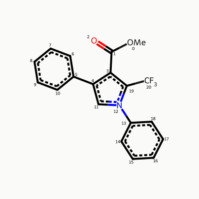 COC(=O)c1c(-c2ccccc2)cn(-c2ccccc2)c1C(F)(F)F